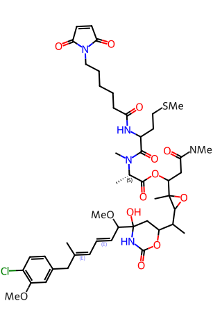 CNC(=O)CC(OC(=O)[C@H](C)N(C)C(=O)C(CCSC)NC(=O)CCCCCN1C(=O)C=CC1=O)C1(C)OC1C(C)C1CC(O)(C(/C=C/C=C(\C)Cc2ccc(Cl)c(OC)c2)OC)NC(=O)O1